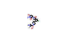 CN1CC(C(=O)N2CCC(c3cc(F)cc4c3CN(C3CCC(=O)NC3=O)C4=O)CC2)C1